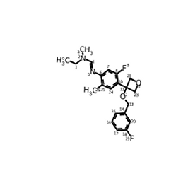 CCN(C)C=Nc1cc(F)c(C2(OCc3cccc(F)c3)COC2)cc1C